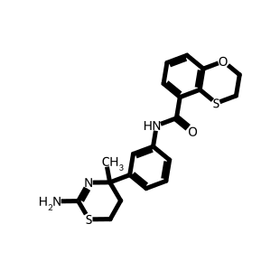 CC1(c2cccc(NC(=O)c3cccc4c3SCCO4)c2)CCSC(N)=N1